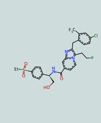 CCS(=O)(=O)c1ccc([C@H](CO)NC(=O)c2ccn3c(CCF)c(Cc4ccc(Cl)cc4C(F)(F)F)nc3c2)cc1